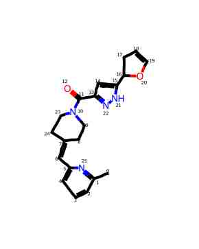 Cc1cccc(C=C2CCN(C(=O)c3cc(C4CC=CO4)[nH]n3)CC2)n1